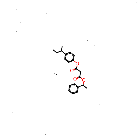 CCC(C)c1ccc(OC(=O)CC(=O)OC(C)c2ccccc2)cc1